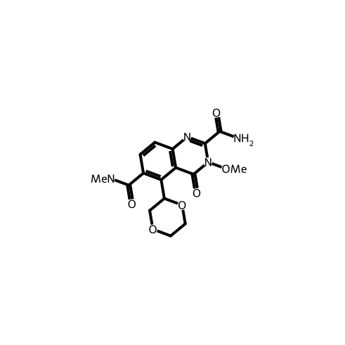 CNC(=O)c1ccc2nc(C(N)=O)n(OC)c(=O)c2c1C1COCCO1